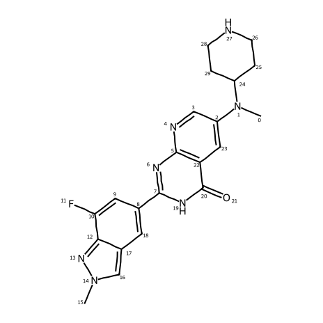 CN(c1cnc2nc(-c3cc(F)c4nn(C)cc4c3)[nH]c(=O)c2c1)C1CCNCC1